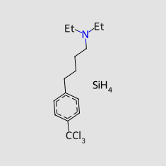 CCN(CC)CCCCc1ccc(C(Cl)(Cl)Cl)cc1.[SiH4]